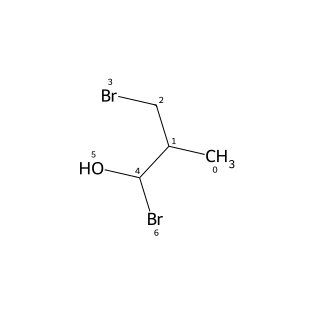 CC(CBr)C(O)Br